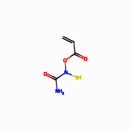 C=CC(=O)ON(S)C(N)=O